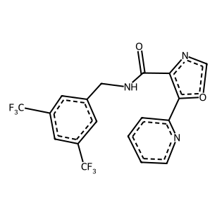 O=C(NCc1cc(C(F)(F)F)cc(C(F)(F)F)c1)c1ncoc1-c1ccccn1